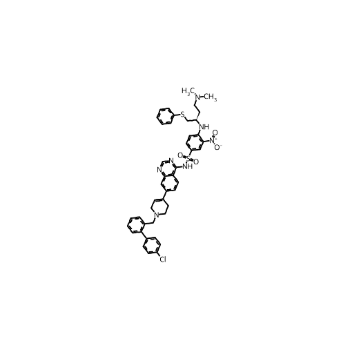 CN(C)CC[C@H](CSc1ccccc1)Nc1ccc(S(=O)(=O)Nc2ncnc3cc(C4=CCN(Cc5ccccc5-c5ccc(Cl)cc5)CC4)ccc23)cc1[N+](=O)[O-]